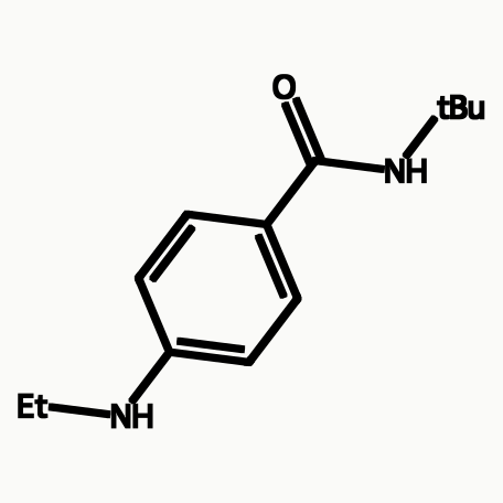 CCNc1ccc(C(=O)NC(C)(C)C)cc1